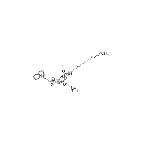 CCCCCCCCCCCCCCCCCCNC(=O)OCC(CNS(=O)(=O)CCC[n+]1cccc2ccccc21)NC(=O)OCCCC.[I-]